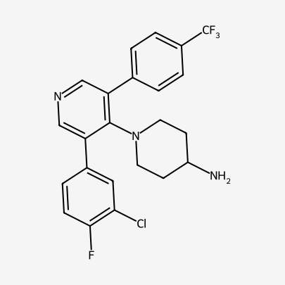 NC1CCN(c2c(-c3ccc(C(F)(F)F)cc3)cncc2-c2ccc(F)c(Cl)c2)CC1